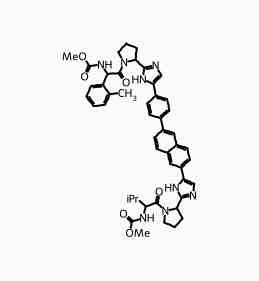 COC(=O)NC(C(=O)N1CCCC1c1ncc(-c2ccc(-c3ccc4cc(-c5cnc(C6CCCN6C(=O)C(NC(=O)OC)C(C)C)[nH]5)ccc4c3)cc2)[nH]1)c1ccccc1C